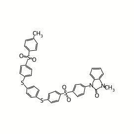 Cc1ccc(S(=O)(=O)c2ccc(Sc3ccc(Sc4ccc(S(=O)(=O)c5ccc(-n6c(=O)n(C)c7ccccc76)cc5)cc4)cc3)cc2)cc1